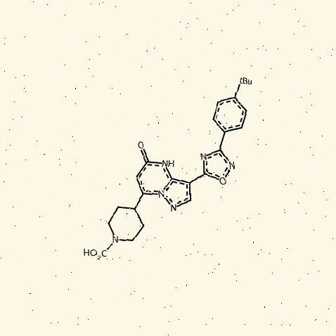 CC(C)(C)c1ccc(-c2noc(-c3cnn4c(C5CCN(C(=O)O)CC5)cc(=O)[nH]c34)n2)cc1